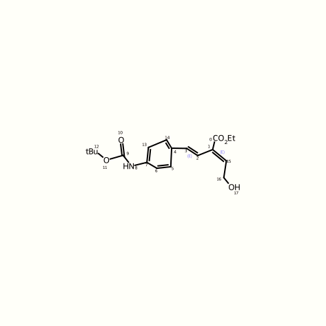 CCOC(=O)C(/C=C/c1ccc(NC(=O)OC(C)(C)C)cc1)=C/CO